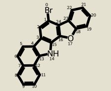 Brc1cc2c3ccc4ccccc4c3[nH]c2c2oc3ccccc3c12